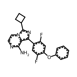 Nc1nccn2c(C3CCC3)nc(-c3cc(F)c(Oc4ccccc4)cc3F)c12